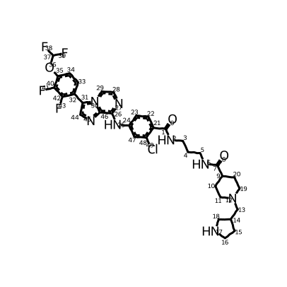 O=C(NCCCNC(=O)C1CCN(CC2CCNC2)CC1)c1ccc(Nc2nccn3c(-c4ccc(OC(F)F)c(F)c4F)cnc23)cc1Cl